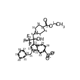 CCOC(=O)C1CCN(CC(O)(c2cn(Cc3ccccc3)c3cc([N+](=O)[O-])ccc23)C(F)(F)F)CC1